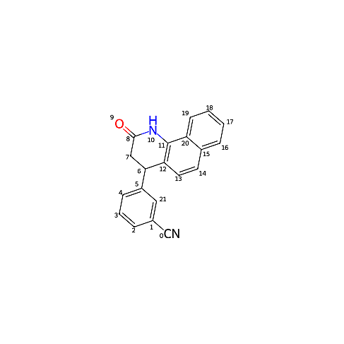 N#Cc1cccc(C2CC(=O)Nc3c2ccc2ccccc32)c1